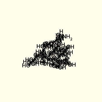 Nc1nc2ncc(CNc3ccc(C(=O)N[C@@H](CCC(=O)N[C@@H](CCC(=O)NC[C@H](O)[C@@H](O)[C@H](O)[C@H](O)CO)C(=O)N[C@H](CCC(=O)O)C(=O)N[C@@H](CCC(=O)NC[C@H](O)[C@@H](O)[C@H](O)[C@H](O)CO)C(=O)N[C@H](CCC(=O)O)C(=O)N[C@@H](CCC(=O)NC[C@H](O)[C@@H](O)[C@H](O)[C@H](O)CO)C(=O)N[C@H](CSC4CC(=O)N(CCO)C4=O)C(=O)O)C(=O)O)cc3)nc2c(=O)[nH]1